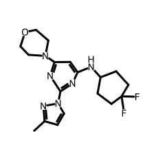 Cc1ccn(-c2nc(NC3CCC(F)(F)CC3)cc(N3CCOCC3)n2)n1